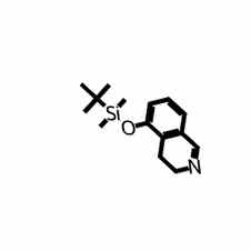 CC(C)(C)[Si](C)(C)Oc1cccc2c1CCN=C2